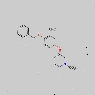 O=Cc1cc(O[C@@H]2CCCN(C(=O)O)C2)ccc1OCc1ccccc1